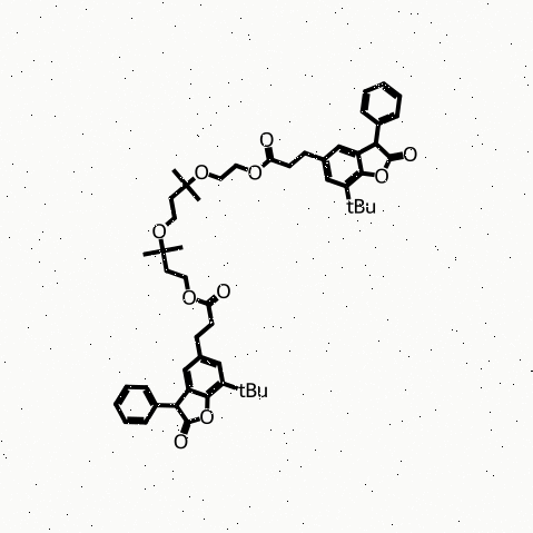 CC(C)(CCOC(=O)CCc1cc2c(c(C(C)(C)C)c1)OC(=O)C2c1ccccc1)OCCC(C)(C)OCCOC(=O)CCc1cc2c(c(C(C)(C)C)c1)OC(=O)C2c1ccccc1